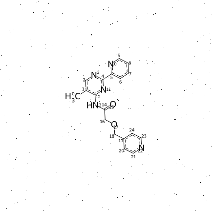 Cc1cnc(-c2ccccn2)nc1NC(=O)COCc1ccncc1